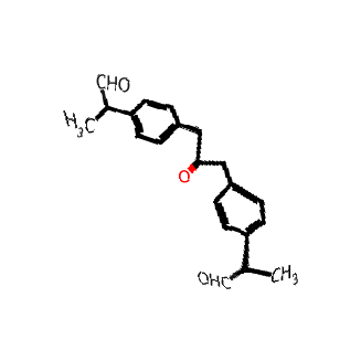 CC(C=O)c1ccc(CC(=O)Cc2ccc(C(C)C=O)cc2)cc1